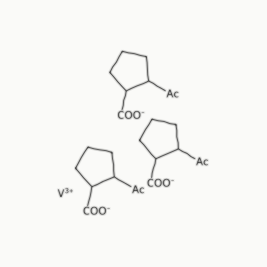 CC(=O)C1CCCC1C(=O)[O-].CC(=O)C1CCCC1C(=O)[O-].CC(=O)C1CCCC1C(=O)[O-].[V+3]